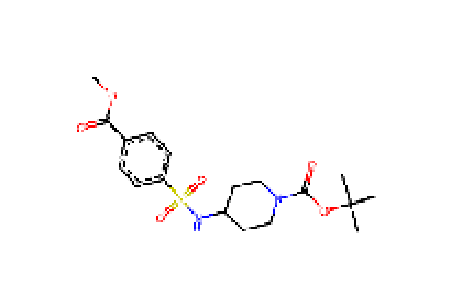 COC(=O)c1ccc(S(=O)(=O)NC2CCN(C(=O)OC(C)(C)C)CC2)cc1